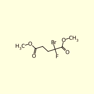 COC(=O)CCC(F)(Br)C(=O)OC